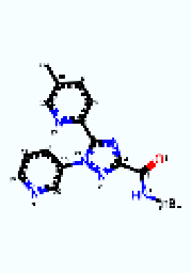 CCCCNC(=O)c1nc(-c2ccc(C)cn2)n(-c2cccnc2)n1